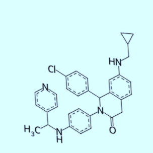 CC(Nc1ccc(N2C(=O)Cc3ccc(NCC4CC4)cc3C2c2ccc(Cl)cc2)cc1)c1ccncc1